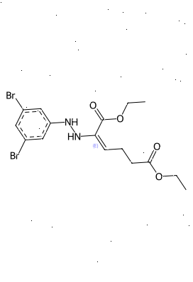 CCOC(=O)CC/C=C(/NNc1cc(Br)cc(Br)c1)C(=O)OCC